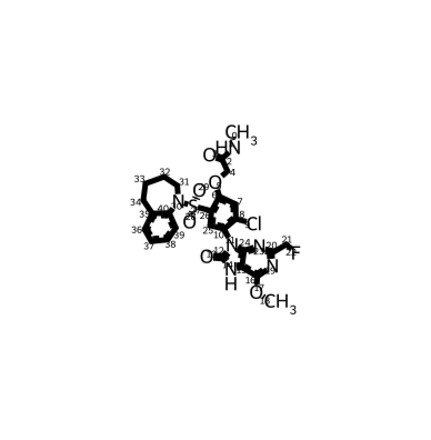 CNC(=O)COc1cc(Cl)c(-n2c(=O)[nH]c3c(OC)nc(CF)nc32)cc1S(=O)(=O)N1CCCCc2ccccc21